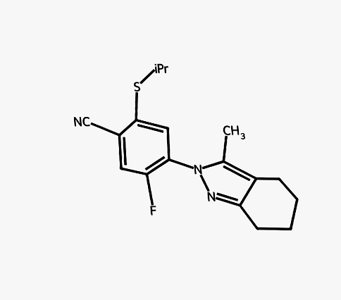 Cc1c2c(nn1-c1cc(SC(C)C)c(C#N)cc1F)CCCC2